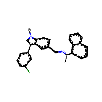 CCn1cc(-c2cccc(F)c2)c2cc(CN[C@H](C)c3cccc4ccccc34)ccc21